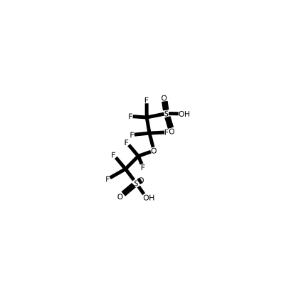 O=S(=O)(O)C(F)(F)C(F)(F)OC(F)(F)C(F)(F)S(=O)(=O)O